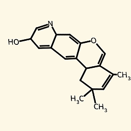 CC1=CC(C)(C)CC2C1=COC1=CC3N=CC(O)C=C3C=C12